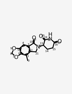 Cc1c2c(cc3c1OCO3)C(=O)N(C1CCC(=O)NC1=O)C2